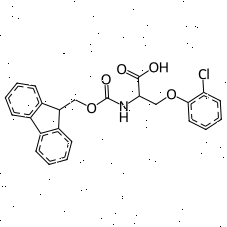 O=C(NC(COc1ccccc1Cl)C(=O)O)OCC1c2ccccc2-c2ccccc21